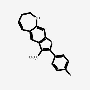 CCOC(=O)c1c(-c2ccc(F)cc2)oc2cc3c(cc12)C=CCCN3